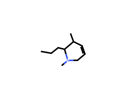 CCCC1C(C)C=CCN1C